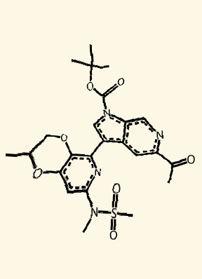 CC(=O)c1cc2c(-c3nc(N(C)S(C)(=O)=O)cc4c3OCC(C)O4)cn(C(=O)OC(C)(C)C)c2cn1